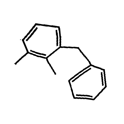 Cc1[c]ccc(Cc2ccccc2)c1C